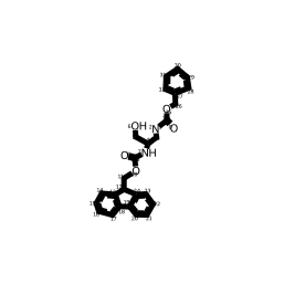 O=C([N]CC(CO)NC(=O)OCC1c2ccccc2-c2ccccc21)OCc1ccccc1